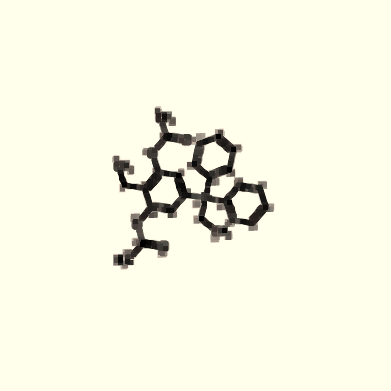 CCc1c(OC(C)=O)cc([P](CC)(c2ccccc2)c2ccccc2)cc1OC(C)=O